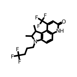 CC1c2c(ccc3[nH]c(=O)cc(C(F)(F)F)c23)N(CCCC(F)(F)F)C1C